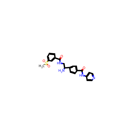 CS(=O)(=O)c1cccc(C(=O)NCC(N)c2ccc(C(=O)Nc3ccncc3)cc2)c1